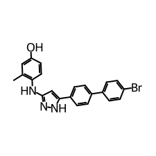 Cc1cc(O)ccc1Nc1cc(-c2ccc(-c3ccc(Br)cc3)cc2)[nH]n1